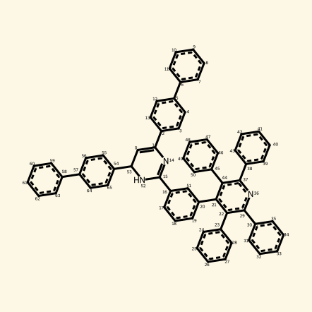 C1=C(c2ccc(-c3ccccc3)cc2)N=C(c2cccc(-c3c(-c4ccccc4)c(-c4ccccc4)nc(-c4ccccc4)c3-c3ccccc3)c2)NC1c1ccc(-c2ccccc2)cc1